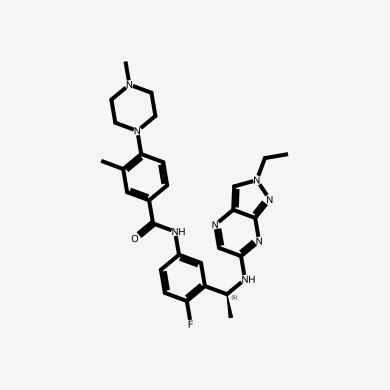 CCn1cc2ncc(N[C@@H](C)c3cc(NC(=O)c4ccc(N5CCN(C)CC5)c(C)c4)ccc3F)nc2n1